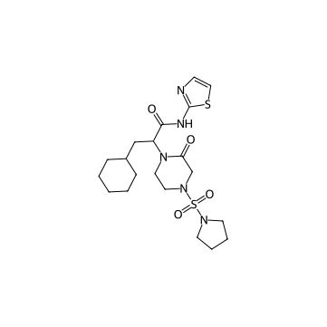 O=C(Nc1nccs1)C(CC1CCCCC1)N1CCN(S(=O)(=O)N2CCCC2)CC1=O